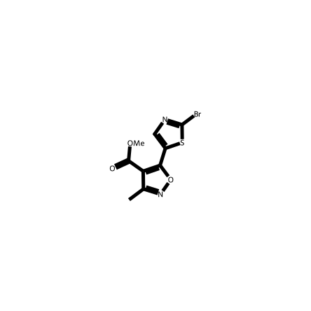 COC(=O)c1c(C)noc1-c1cnc(Br)s1